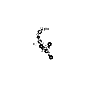 C[C@@H]1CN(C2CC(OC3CCN(C(=O)OC(C)(C)C)CC3)C2)CCN1c1ccc2c(c1F)[C@H](C)N(c1ccc(OCc3ccccc3)nc1OCc1ccccc1)C2=O